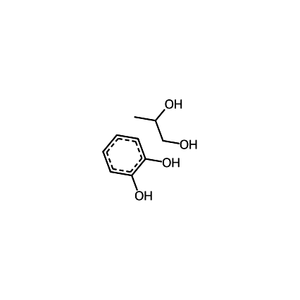 CC(O)CO.Oc1ccccc1O